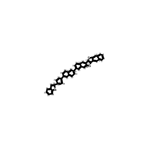 c1ccc2cc3c(cc2c1)sc1c2cc4ccc(-c5ccc6cc(-c7ccc(-c8cc9ccccc9s8)cc7)ccc6c5)cc4cc2sc31